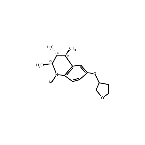 CC(=O)N1c2ccc(OC3CCOC3)cc2[C@H](C)[C@@H](C)[C@@H]1C